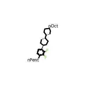 CCCCCCCC[C@H]1CC[C@H]([C@H]2CC[C@H](c3ccc(CCCCC)c(F)c3F)CC2)CC1